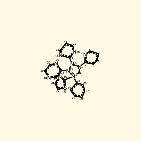 [CH]1N(c2ccccn2)N(c2ncccn2)N(c2cnccn2)[N+]1(c1ccccc1)c1nccs1